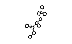 c1ccc(-c2cccc(-c3cc(-c4ccc(-c5cccc(-c6cccc7c6c6ccccc6n7-c6ccccc6)c5)c5ccccc45)nc(-c4ccccc4)n3)c2)cc1